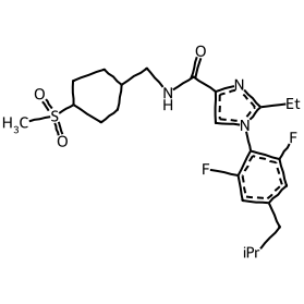 CCc1nc(C(=O)NCC2CCC(S(C)(=O)=O)CC2)cn1-c1c(F)cc(CC(C)C)cc1F